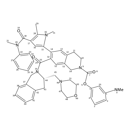 CNc1cccc(OC(=O)N2CCc3cc(-c4cc(C(=O)N(C)c5ccccc5)c(C)n4C)c(C(=O)N4Cc5ccccc5C[C@H]4CN4CCOCC4)cc3C2)c1